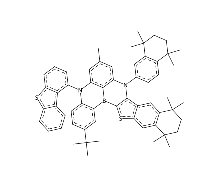 Cc1cc2c3c(c1)N(c1cccc4sc5ccccc5c14)c1ccc(C(C)(C)C)cc1B3c1sc3cc4c(cc3c1N2c1ccc2c(c1)C(C)(C)CCC2(C)C)C(C)(C)CCC4(C)C